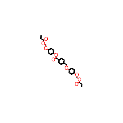 C=CC(=O)OCOc1ccc(OCc2ccc(C(=O)Oc3ccc(OCOC(=O)C=C)cc3)cc2)cc1